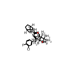 BC(B)(B)C(B)(n1nc(N[C@@H]2[C@@H]3CC[C@H]2CN(c2cc(C)ncn2)C3)nc1Oc1ccc(F)c(Cl)c1)C(B)(B)B